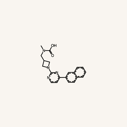 CN(CC1CN(c2nccc(-c3ccc4ccccc4c3)n2)C1)C(=O)O